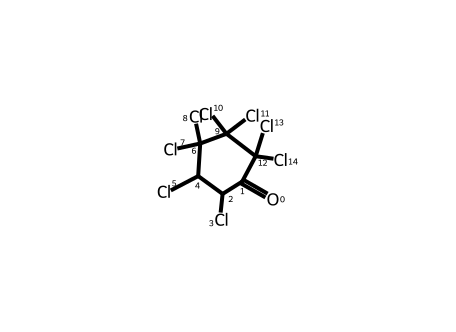 O=C1C(Cl)C(Cl)C(Cl)(Cl)C(Cl)(Cl)C1(Cl)Cl